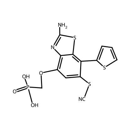 N#CSc1cc(OCP(=O)(O)O)c2nc(N)sc2c1-c1cccs1